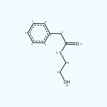 O=C(Cc1ccccc1)SCCO